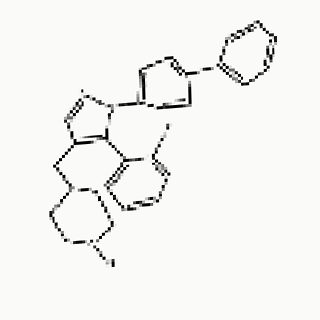 CCN1CCN(Cc2cnn(-c3ccc(-c4ccccc4)cc3)c2-c2ccccc2F)CC1